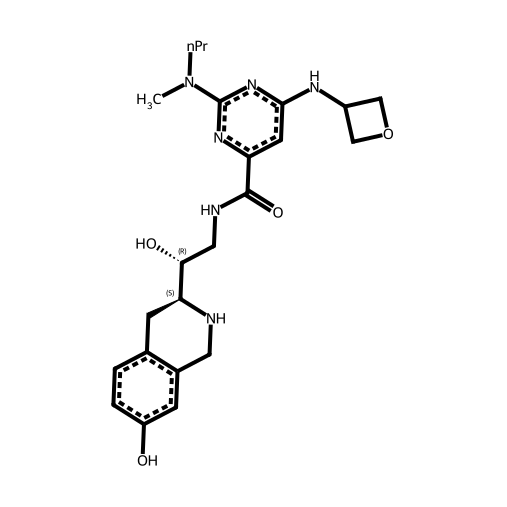 CCCN(C)c1nc(NC2COC2)cc(C(=O)NC[C@@H](O)[C@@H]2Cc3ccc(O)cc3CN2)n1